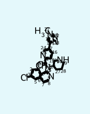 Cc1cc(Cl)cc2ccnc(N(C(=O)c3ccc(-c4cn(C)nn4)cn3)[C@@H]3CCCNC3)c12